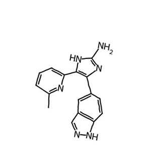 Cc1cccc(-c2[nH]c(N)nc2-c2ccc3[nH]ncc3c2)n1